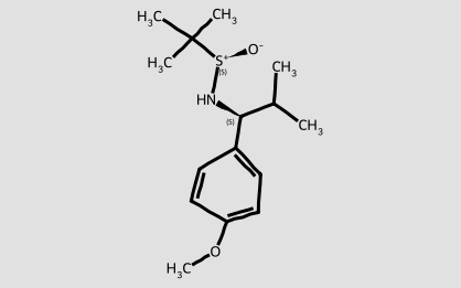 COc1ccc([C@@H](N[S@+]([O-])C(C)(C)C)C(C)C)cc1